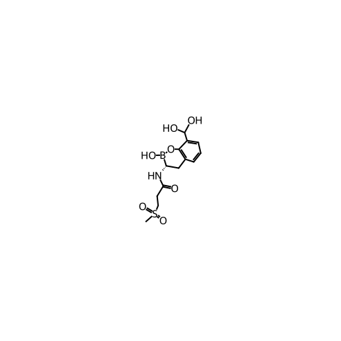 CS(=O)(=O)CCC(=O)N[C@H]1Cc2cccc(C(O)O)c2OB1O